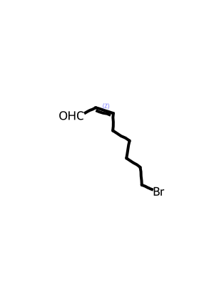 O=C/C=C\CCCCCBr